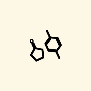 Cc1ccc(C)cc1.O=C1CCCC1